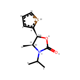 CC(C)N1C(=O)O[C@H](c2cccs2)[C@@H]1C